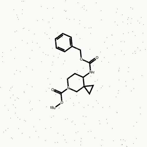 CC(C)(C)OC(=O)N1CCC(NC(=O)OCc2ccccc2)C2(CC2)C1